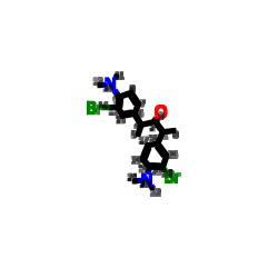 CC(C(=O)C(C)c1ccc(N(C)C)c(Br)c1)c1ccc(N(C)C)c(Br)c1